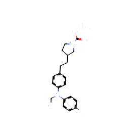 CC(C)(C)OC(=O)N1CCC(CCc2ccc(N(CC(F)(F)F)c3ccc(Cl)cc3)cc2)C1